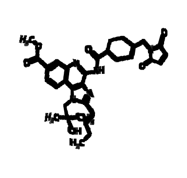 CCCCc1nc2c(NC(=O)C3CCC(CN4C(=O)C=CC4=O)CC3)nc3cc(C(=O)OC)ccc3c2n1CC(C)(C)O